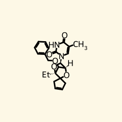 CC[C@@]12O[C@@H](n3cc(C)c(=O)[nH]c3=O)[C@@H](OC13CC=CC3)C2OCc1ccccc1